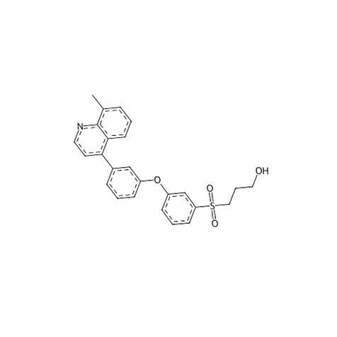 Cc1cccc2c(-c3cccc(Oc4cccc(S(=O)(=O)CCCO)c4)c3)ccnc12